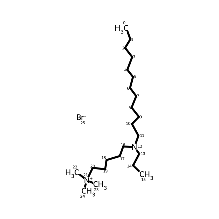 CCCCCCCCCCCCN(CCC)CCCCC[N+](C)(C)C.[Br-]